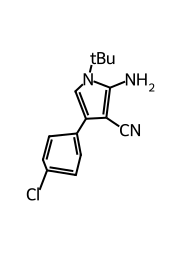 CC(C)(C)n1cc(-c2ccc(Cl)cc2)c(C#N)c1N